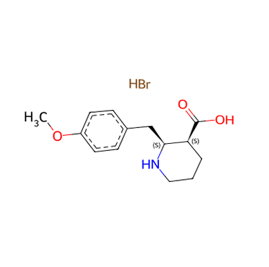 Br.COc1ccc(C[C@@H]2NCCC[C@@H]2C(=O)O)cc1